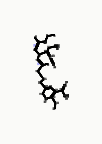 CCO/C(C)=C\C(/C=C(\C)CSCC1=CC(C(=O)O)=C(CC)OC1)C(=C=O)CO